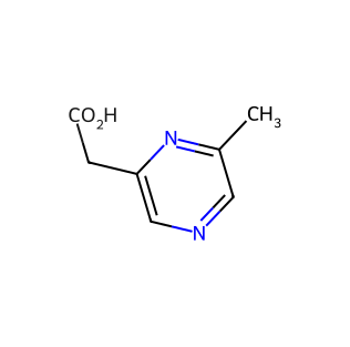 Cc1cncc(CC(=O)O)n1